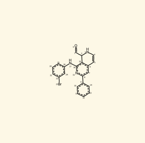 O=CC1NC=Cc2cc(-c3ccccc3)nc(Nc3cccc(Br)c3)c21